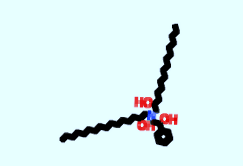 CCCCCCCCCCCCCCC(O)CN(CC(O)CCCCCCCCCCCCCC)CC(O)c1ccccc1